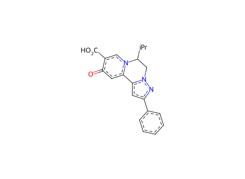 CC(C)C1Cn2nc(-c3ccccc3)cc2-c2cc(=O)c(C(=O)O)cn21